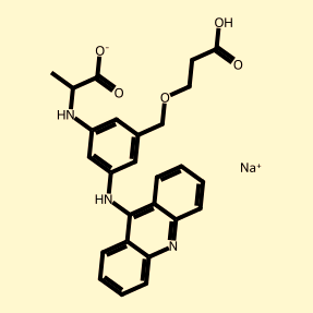 CC(Nc1cc(COCCC(=O)O)cc(Nc2c3ccccc3nc3ccccc23)c1)C(=O)[O-].[Na+]